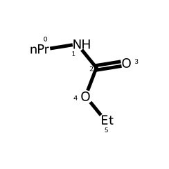 CCCNC(=O)OCC